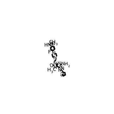 Cn1c(=O)n(CCN2CCN(c3ccc(S(C)(=N)=O)cc3F)CC2)c2nc(N)n3nc(-c4ccco4)nc3c21